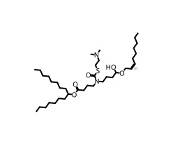 CCCCCC/C=C\COC(O)CCCN(CCCC(=O)OC(CCCCCCC)CCCCCCCC)C(=O)SCCN(C)C